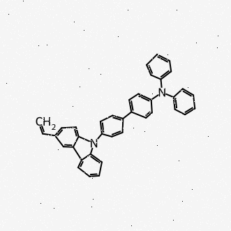 C=Cc1ccc2c(c1)c1ccccc1n2-c1ccc(-c2ccc(N(c3ccccc3)c3ccccc3)cc2)cc1